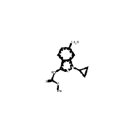 CC(C)(C)OC(=O)Nc1nn(C2CC2)c2cc(C(=O)O)ccc12